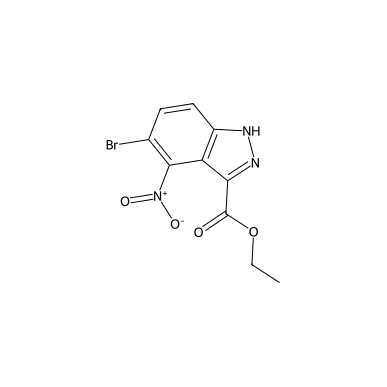 CCOC(=O)c1n[nH]c2ccc(Br)c([N+](=O)[O-])c12